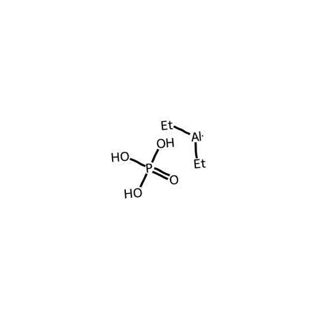 C[CH2][Al][CH2]C.O=P(O)(O)O